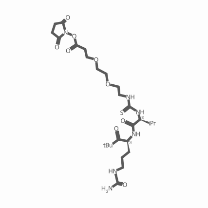 CC(C)[C@H](NC(=S)NCCOCCOCCC(=O)ON1C(=O)CCC1=O)C(=O)N[C@@H](CCCNC(N)=O)C(=O)C(C)(C)C